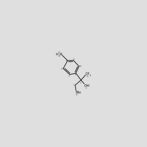 CC(C)(C)CC(O)(c1ccc(N)cc1)C(F)(F)F